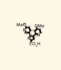 COc1ccnc(-c2cc(C(=O)O)nn2-c2ccc(OC)nn2)c1